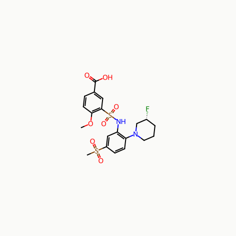 COc1ccc(C(=O)O)cc1S(=O)(=O)Nc1cc(S(C)(=O)=O)ccc1N1CCC[C@@H](F)C1